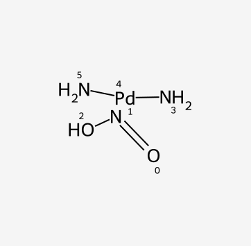 O=NO.[NH2][Pd][NH2]